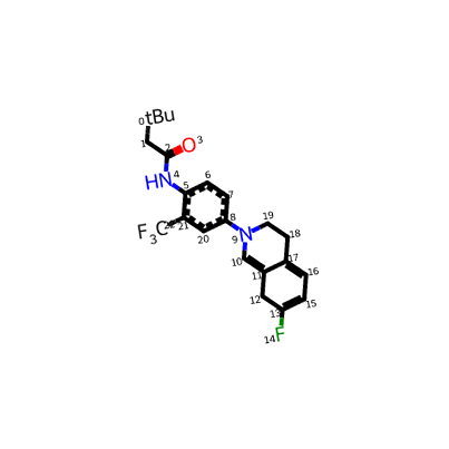 CC(C)(C)CC(=O)Nc1ccc(N2C=C3CC(F)=CC=C3CC2)cc1C(F)(F)F